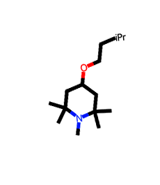 CC(C)CCOC1CC(C)(C)N(C)C(C)(C)C1